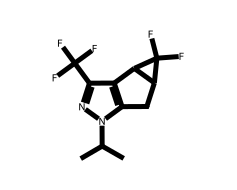 CC(C)n1nc(C(F)(F)F)c2c1CC1C2C1(F)F